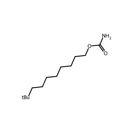 CC(C)(C)CCCCCCCCOC(N)=O